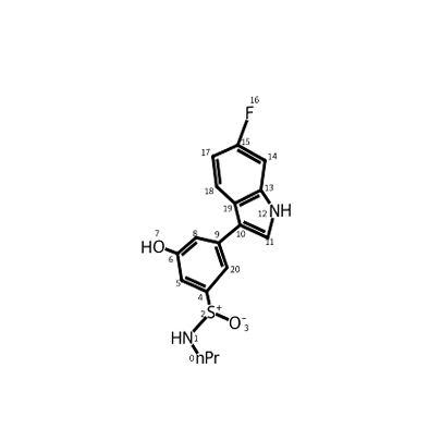 CCCN[S+]([O-])c1cc(O)cc(-c2c[nH]c3cc(F)ccc23)c1